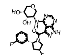 O=C(c1n[nH]c2ncnc(N[C@@H]3COC[C@@H](O)[C@H]3O)c12)N1C[C@@H](F)C[C@@H]1c1cccc(F)c1